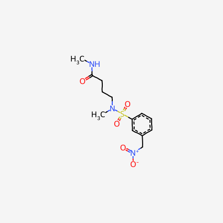 CNC(=O)CCCN(C)S(=O)(=O)c1cccc(C[N+](=O)[O-])c1